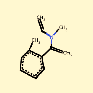 C=CN(C)C(=C)c1ccccc1C